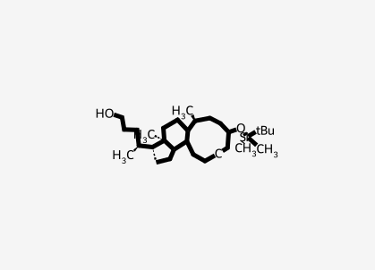 C[C@H](CCCO)[C@H]1CCC2C3CCCCC(O[Si](C)(C)C(C)(C)C)CC[C@H](C)C3CC[C@@]21C